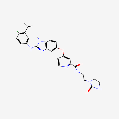 CC(C)c1cc(Nc2nc3cc(Oc4ccnc(C(=O)NCCN5CCNC5=O)c4)ccc3n2C)ccc1F